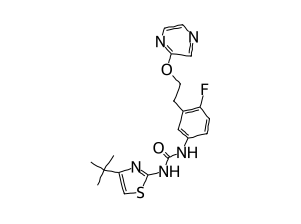 CC(C)(C)c1csc(NC(=O)Nc2ccc(F)c(CCOc3cnccn3)c2)n1